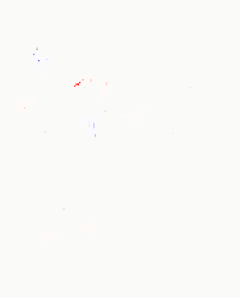 CS(=O)(=O)c1ccc(C[C@@H](NC(=O)OCc2ccccc2)[C@H](O)C(N)=O)cc1